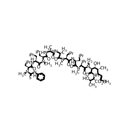 CC=CC[C@@H](C)[C@@H](O)[C@@H](C(=O)N[C@H](C(=O)O)[C@@H](C)O)N(C)C(=O)[C@H](C(C)C)N(C)C(=O)[C@H](CC(C)C)NC(=O)[C@H](CC(C)C)N(C)C(=O)[C@@H](C)NC(=O)[C@H](C)NC(=O)[C@H](CC(C)C)N(C)C(=O)[C@H](CC(C)C)NC(=O)[C@H](CC(C)C)N(C)C(=S)Nc1ccccc1